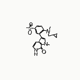 CN(CC1CC1)c1ccc(S(C)(=O)=O)cc1-c1cn(C)c2c(=O)[nH]ccc12